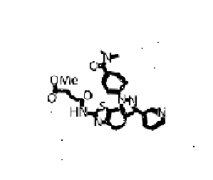 COC(=O)CCC(=O)Nc1nc2c(s1)-c1c(c(-c3cccnc3)nn1-c1ccc(C(=O)N(C)C)cc1)CC2